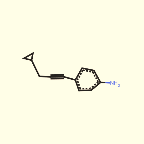 Nc1[c]cc(C#CCC2CC2)cc1